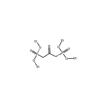 CCOP(=O)(CC(=O)CP(=O)(OCC)OCC)OCC